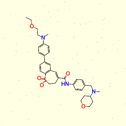 CCOCCN(C)c1ccc(-c2ccc3c(c2)C=C(C(=O)Nc2ccc(CN(C)C4CCOCC4)cc2)CCS3(=O)=O)cc1